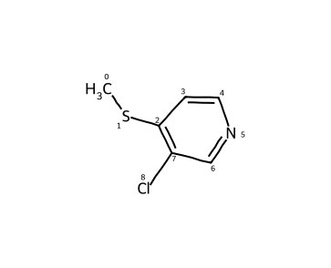 CSc1ccncc1Cl